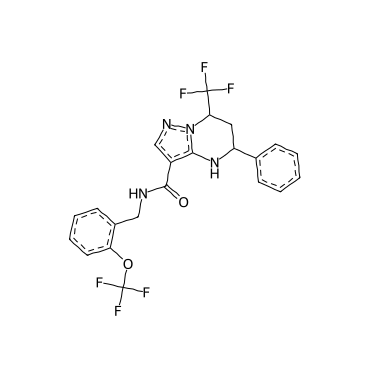 O=C(NCc1ccccc1OC(F)(F)F)c1cnn2c1NC(c1ccccc1)CC2C(F)(F)F